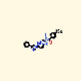 CC(C)(C)c1ccc(C(=O)Nc2cn3nc(-n4cnc(-c5ccccc5)c4)ccc3n2)cc1